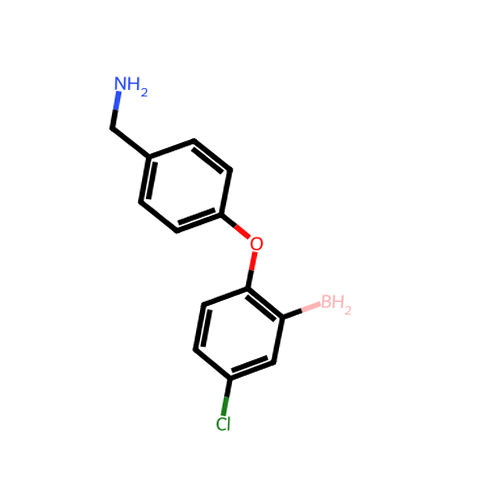 Bc1cc(Cl)ccc1Oc1ccc(CN)cc1